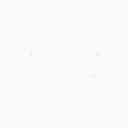 CCCO[Si](CC[Si](OCCC)(OCCC)C(C)C)(OCCC)C(C)C